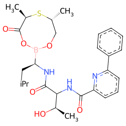 CC(C)C[C@H](NC(=O)C(NC(=O)c1cccc(-c2ccccc2)n1)[C@@H](C)O)B1OC[C@@H](C)S[C@H](C)C(=O)O1